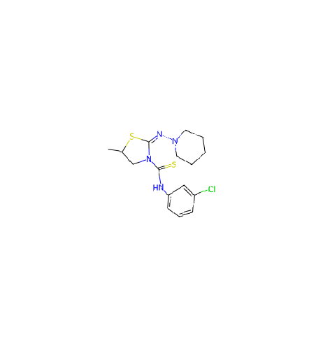 CC1CN(C(=S)Nc2cccc(Cl)c2)/C(=N\N2CCCCC2)S1